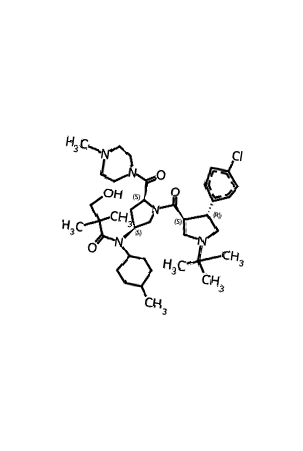 CC1CCC(N(C(=O)C(C)(C)CO)[C@H]2C[C@@H](C(=O)N3CCN(C)CC3)N(C(=O)[C@@H]3CN(C(C)(C)C)C[C@H]3c3ccc(Cl)cc3)C2)CC1